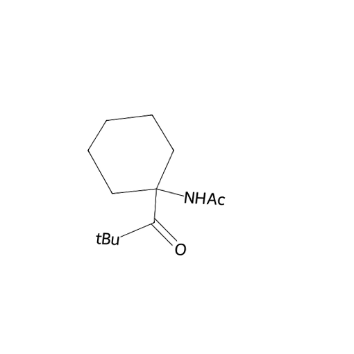 CC(=O)NC1(C(=O)C(C)(C)C)CCCCC1